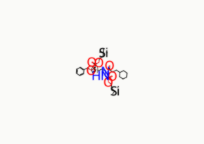 C[Si](C)(C)CCOC(=O)NN(CC[C@H](OCc1ccccc1)C(=O)OCC[Si](C)(C)C)C(=O)CCC1CCCCC1